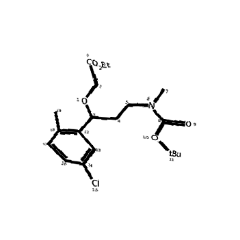 CCOC(=O)COC(CCN(C)C(=O)OC(C)(C)C)c1cc(Cl)ccc1C